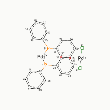 [Cl][Pd][Cl].c1ccc([P]([Pd-2][P](c2ccccc2)c2ccccc2)c2ccccc2)cc1